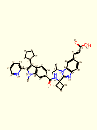 CC(C)n1c(C2(NC(=O)c3ccc4c(C5CCCC5)c(-c5ccccn5)n(C)c4c3)CCC2)nc2ccc(/C=C/C(=O)O)cc21